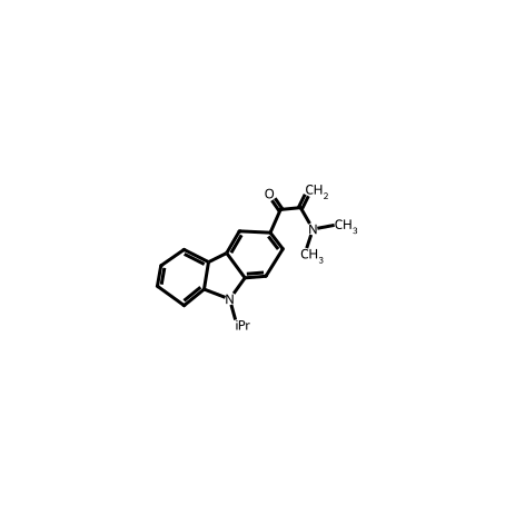 C=C(C(=O)c1ccc2c(c1)c1ccccc1n2C(C)C)N(C)C